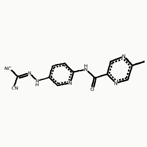 Cc1cnc(C(=O)Nc2ccc(NN=C(C#N)C#N)cn2)cn1